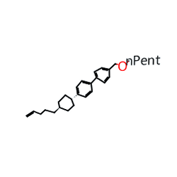 C=CCCC[C@H]1CC[C@H](c2ccc(-c3ccc(COCCCCC)cc3)cc2)CC1